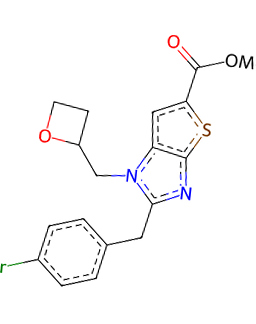 COC(=O)c1cc2c(nc(Cc3ccc(Br)cc3)n2CC2CCO2)s1